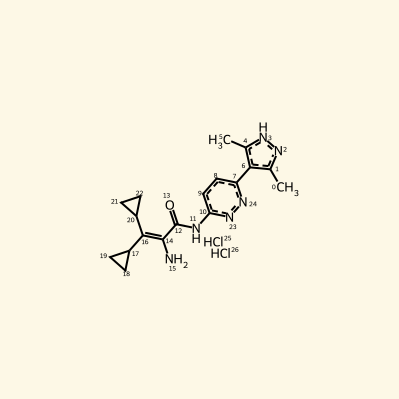 Cc1n[nH]c(C)c1-c1ccc(NC(=O)C(N)=C(C2CC2)C2CC2)nn1.Cl.Cl